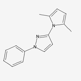 Cc1ccc(C)n1-c1ccn(-c2ccccc2)n1